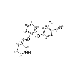 N#Cc1ccc(Oc2ncccc2OCC2CCCNC2)cc1F